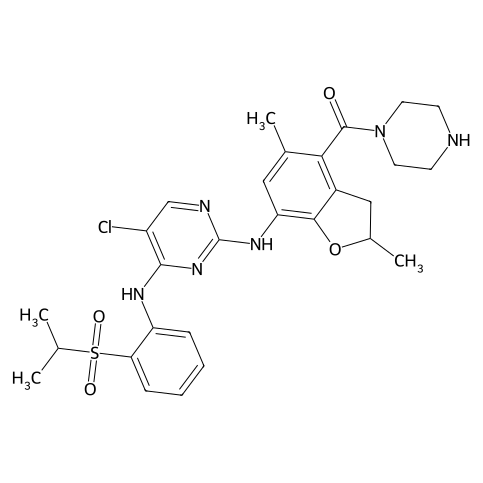 Cc1cc(Nc2ncc(Cl)c(Nc3ccccc3S(=O)(=O)C(C)C)n2)c2c(c1C(=O)N1CCNCC1)CC(C)O2